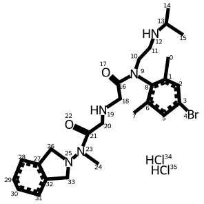 Cc1cc(Br)cc(C)c1N(CCNC(C)C)C(=O)CNCC(=O)N(C)N1Cc2ccccc2C1.Cl.Cl